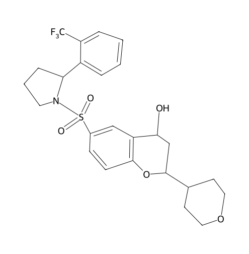 O=S(=O)(c1ccc2c(c1)C(O)CC(C1CCOCC1)O2)N1CCCC1c1ccccc1C(F)(F)F